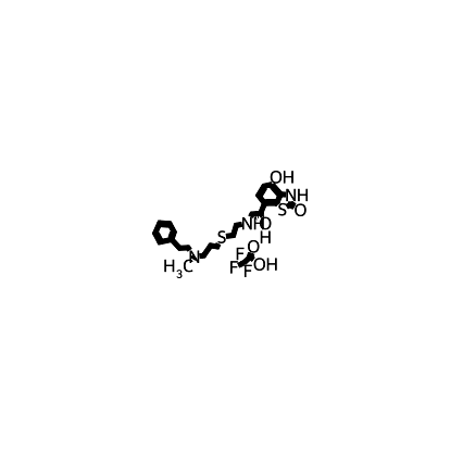 CN(CCCSCCNC[C@H](O)c1ccc(O)c2[nH]c(=O)sc12)CCc1ccccc1.O=C(O)C(F)(F)F